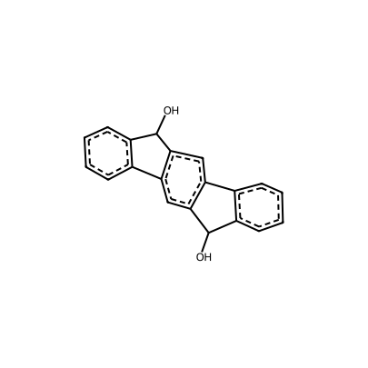 OC1c2ccccc2-c2cc3c(cc21)-c1ccccc1C3O